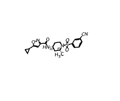 C[C@@H]1C[C@H](NC(=O)c2cc(C3CC3)on2)CCN1S(=O)(=O)c1cccc(C#N)c1